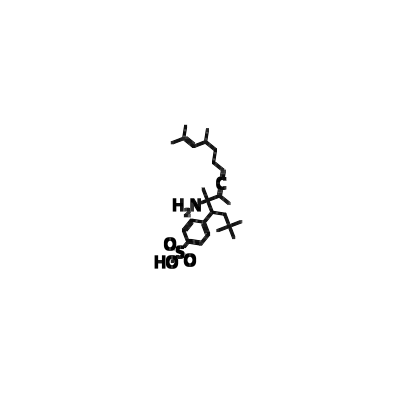 CC(=C=CCCC(C)C=C(C)C)C(C)(N)C(CC(C)(C)C)c1ccc(S(=O)(=O)O)cc1